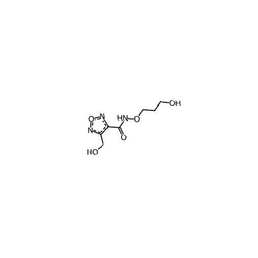 O=C(NOCCCO)c1nonc1CO